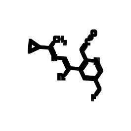 CC/C(=C\N=C(/C)C1CC1)c1cc(CF)cnc1C=C=O